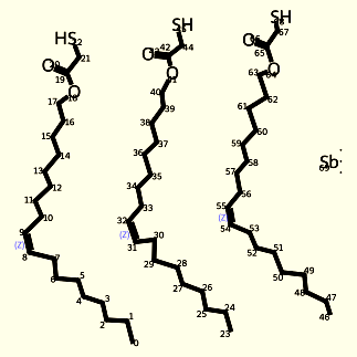 CCCCCCCC/C=C\CCCCCCCCOC(=O)CS.CCCCCCCC/C=C\CCCCCCCCOC(=O)CS.CCCCCCCC/C=C\CCCCCCCCOC(=O)CS.[Sb]